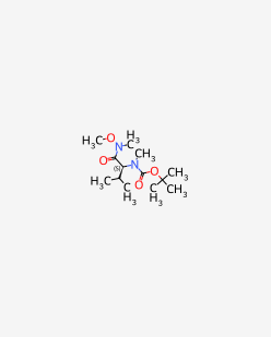 CON(C)C(=O)[C@H](C(C)C)N(C)C(=O)OC(C)(C)C